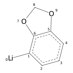 [Li][c]1cccc2c1OCO2